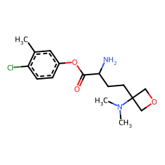 Cc1cc(OC(=O)C(N)CCC2(N(C)C)COC2)ccc1Cl